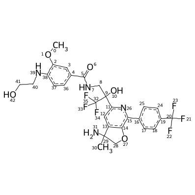 COc1cc(C(=O)NCC(O)(c2cc3c(c(-c4ccc(C(F)(F)F)cc4)n2)OCC3(C)N)C(F)(F)F)ccc1NCCO